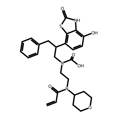 C=CC(=O)N(CCN(CC(Cc1ccccc1)c1ccc(O)c2[nH]c(=O)sc12)C(=O)O)C1CCOCC1